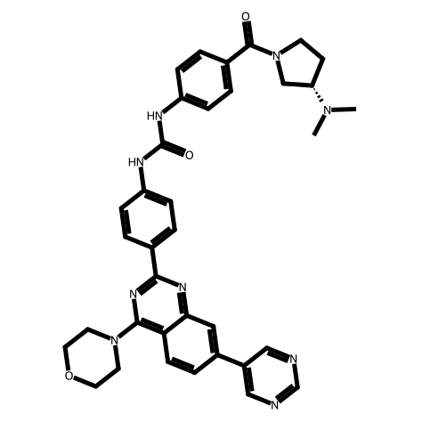 CN(C)[C@H]1CCN(C(=O)c2ccc(NC(=O)Nc3ccc(-c4nc(N5CCOCC5)c5ccc(-c6cncnc6)cc5n4)cc3)cc2)C1